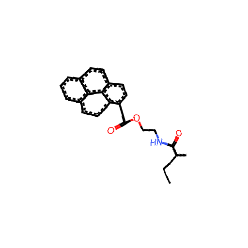 CCC(C)C(=O)NCCOC(=O)c1ccc2ccc3cccc4ccc1c2c34